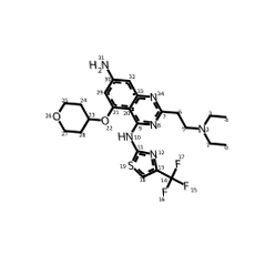 CCN(CC)CCc1nc(Nc2nc(C(F)(F)F)cs2)c2c(OC3CCOCC3)cc(N)cc2n1